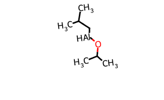 CC(C)[CH2][AlH][O]C(C)C